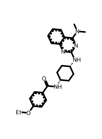 CCOc1ccc(C(=O)N[C@H]2CC[C@@H](Nc3nc(N(C)C)c4ccccc4n3)CC2)cc1